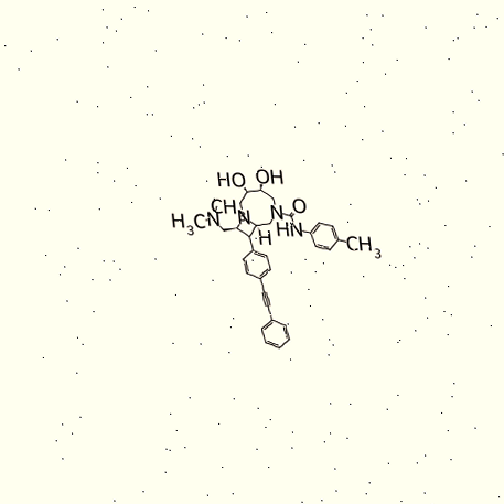 Cc1ccc(NC(=O)N2C[C@H](O)[C@H](O)CN3[C@H](CN(C)C)C(c4ccc(C#Cc5ccccc5)cc4)[C@@H]3C2)cc1